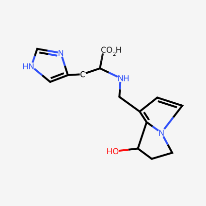 O=C(O)C(Cc1c[nH]cn1)NCc1ccn2c1C(O)CC2